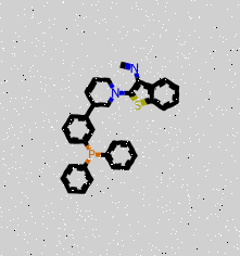 C=Nc1c(N2CC=CC(c3cccc(P(c4ccccc4)c4ccccc4)c3)C2)sc2ccccc12